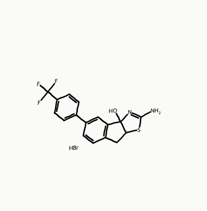 Br.NC1=NC2(O)c3cc(-c4ccc(C(F)(F)F)cc4)ccc3CC2S1